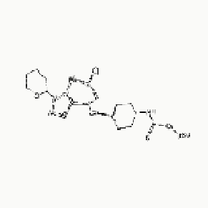 CC(C)(C)OC(=O)N[C@H]1CC[C@@H](Oc2nc(Cl)nc3c2cnn3C2CCCCO2)CC1